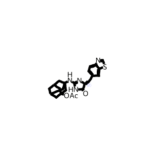 CC(=O)OC12CC3CC(CC(NC4=N/C(=C\c5ccc6ncsc6c5)C(=O)N4)(C3)C1)C2